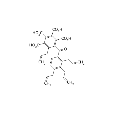 C=CCc1ccc(C(=O)c2c(CC=C)c(C(=O)O)c(C(=O)O)c(C(=O)O)c2C(=O)O)c(CC=C)c1CC=C